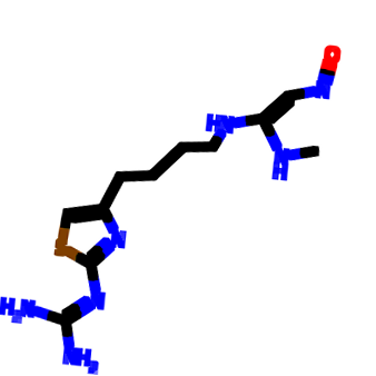 CN/C(=C\N=O)NCCCCc1csc(N=C(N)N)n1